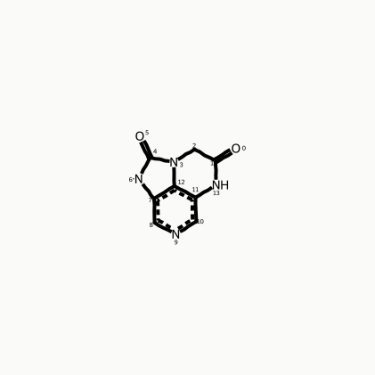 O=C1CN2C(=O)[N]c3cncc(c32)N1